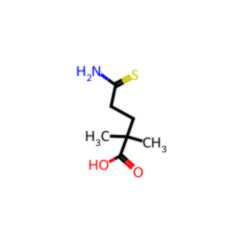 CC(C)(CCC(N)=S)C(=O)O